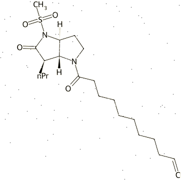 C=CCCCCCCCCC(=O)N1CC[C@H]2[C@H]1[C@@H](CCC)C(=O)N2S(C)(=O)=O